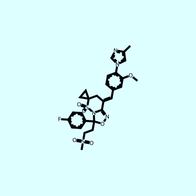 COc1cc(/C=C2\CC3(CC3)S(=O)(=O)N3C2=NOC3(CCS(C)(=O)=O)c2ccc(F)cc2)ccc1-n1cnc(C)c1